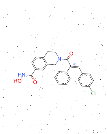 O=C(NO)c1ccc2c(c1)CN(C(=O)/C(=C/c1ccc(Cl)cc1)c1ccccc1)CC2